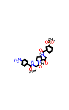 CC(C)C[C@H](NC(=O)c1ccc(N)cc1)C(=O)N1CC[C@@H]2[C@H]1C(=O)CN2C(=O)c1cccc(S(C)(=O)=O)c1